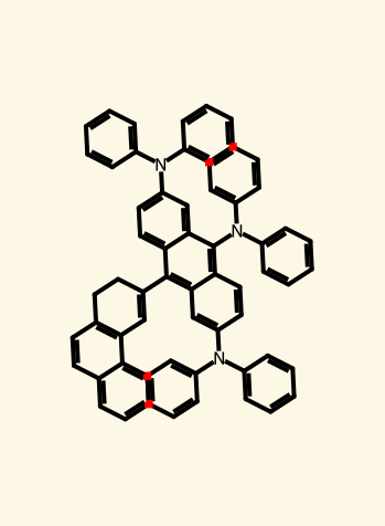 C1=C(c2c3cc(N(c4ccccc4)c4ccccc4)ccc3c(N(c3ccccc3)c3ccccc3)c3cc(N(c4ccccc4)c4ccccc4)ccc23)CCc2ccc3ccccc3c21